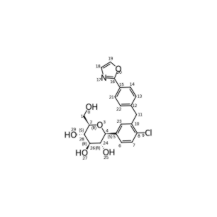 OC[C@H]1O[C@@H](c2ccc(Cl)c(Cc3ccc(-c4ncco4)cc3)c2)[C@H](O)[C@@H](O)[C@@H]1O